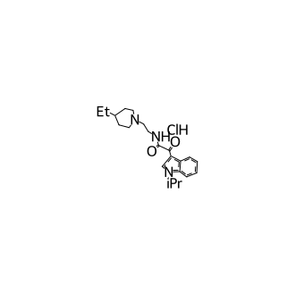 CCC1CCN(CCNC(=O)C(=O)c2cn(C(C)C)c3ccccc23)CC1.Cl